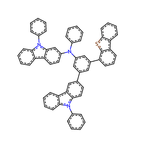 c1ccc(N(c2cc(-c3ccc4c(c3)c3ccccc3n4-c3ccccc3)cc(-c3cccc4c3sc3ccccc34)c2)c2ccc3c4ccccc4n(-c4ccccc4)c3c2)cc1